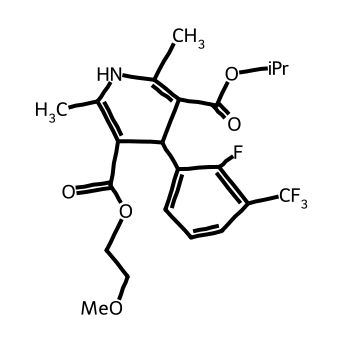 COCCOC(=O)C1=C(C)NC(C)=C(C(=O)OC(C)C)C1c1cccc(C(F)(F)F)c1F